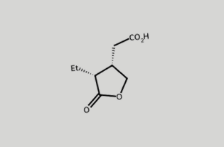 CC[C@H]1C(=O)OC[C@H]1CC(=O)O